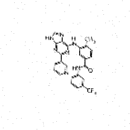 Cc1ccc(C(=O)Nc2cccc(C(F)(F)F)c2)cc1Nc1nc(-c2cccnc2)nc2[nH]cnc12